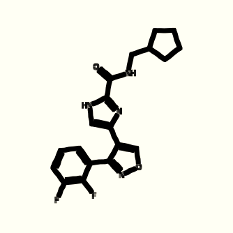 O=C(NCC1CCCC1)c1nc(-c2conc2-c2cccc(F)c2F)c[nH]1